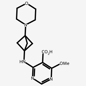 COc1ncnc(NC23CC(N4CCOCC4)(C2)C3)c1C(=O)O